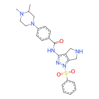 CC1CN(c2ccc(C(=O)Nc3nn(S(=O)(=O)c4ccccc4)c4c3CNC4)cc2)CCN1C